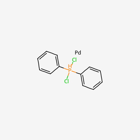 Cl[PH](Cl)(c1ccccc1)c1ccccc1.[Pd]